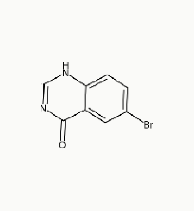 O=c1n[c][nH]c2ccc(Br)cc12